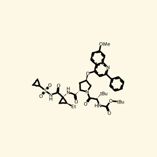 CC[C@H]1C[C@@]1(NC(=O)[C@@H]1C[C@@H](Oc2cc(-c3ccccc3)nc3cc(OC)ccc23)CN1C(=O)[C@@H](NC(=O)OC(C)(C)C)C(C)(C)C)C(=O)NS(=O)(=O)C1CC1